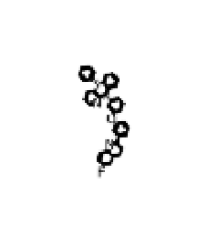 Fc1ccc2nc(-c3cccc(Oc4cccc([C@H](c5ccccn5)c5ccccc5Sc5ccccc5)c4)c3)ccc2c1